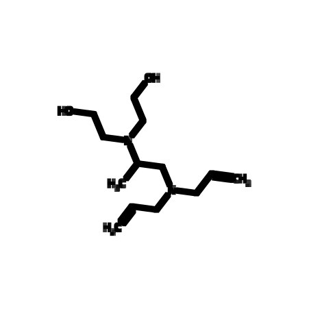 C=CCN(CC=C)CC(C)N(CCO)CCO